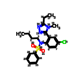 CCCCN(c1ccc(Cl)cc1-c1nnc(CC)n1C)S(=O)(=O)c1ccccc1